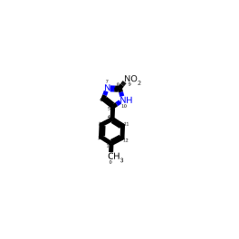 Cc1ccc(-c2cnc([N+](=O)[O-])[nH]2)cc1